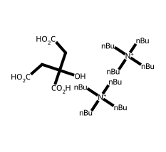 CCCC[N+](CCCC)(CCCC)CCCC.CCCC[N+](CCCC)(CCCC)CCCC.O=C(O)CC(O)(CC(=O)O)C(=O)O